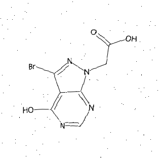 O=C(O)Cn1nc(Br)c2c(O)ncnc21